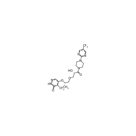 C[C@@H](COC[C@H](O)C(=O)N1CCN(c2ncc(C(F)(F)F)cn2)CC1)Oc1cn[nH]c(=O)c1C(F)(F)F